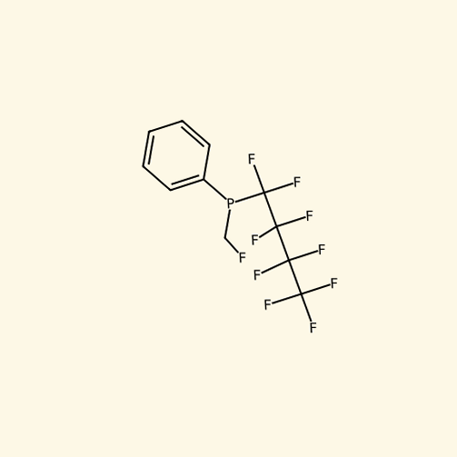 FCP(c1ccccc1)C(F)(F)C(F)(F)C(F)(F)C(F)(F)F